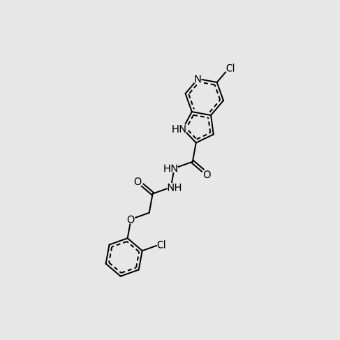 O=C(COc1ccccc1Cl)NNC(=O)c1cc2cc(Cl)ncc2[nH]1